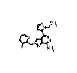 CCn1nccc1-c1[c]nc(N)c2nn(Cc3ncccc3F)cc12